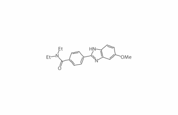 CCN(CC)C(=O)c1ccc(-c2nc3cc(OC)ccc3[nH]2)cc1